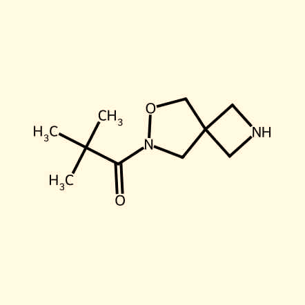 CC(C)(C)C(=O)N1CC2(CNC2)CO1